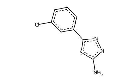 Nc1nnc(-c2cccc(Cl)c2)s1